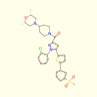 C[C@@H]1CN(C2CCN(C(=O)c3cc(-c4ccc(-c5cccc(S(C)(=O)=O)c5)s4)n(-c4ccccc4Cl)n3)CC2)C[C@H](C)O1